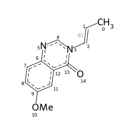 C/C=C/n1cnc2ccc(OC)cc2c1=O